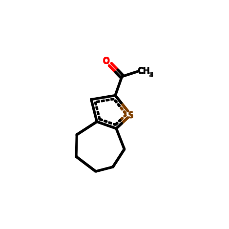 CC(=O)c1cc2c(s1)CCCCC2